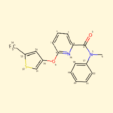 CN(C(=O)c1cccc(Oc2csc(C(F)(F)F)c2)n1)c1ccccc1